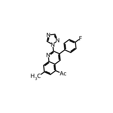 CC(=O)c1cc(C)cc2nc(-n3cncn3)c(-c3ccc(F)cc3)cc12